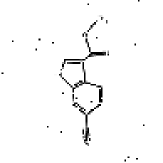 COC(=O)c1c[nH]c2cc(C#N)ccc12